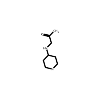 CC(=O)CNC1CC[N]CC1